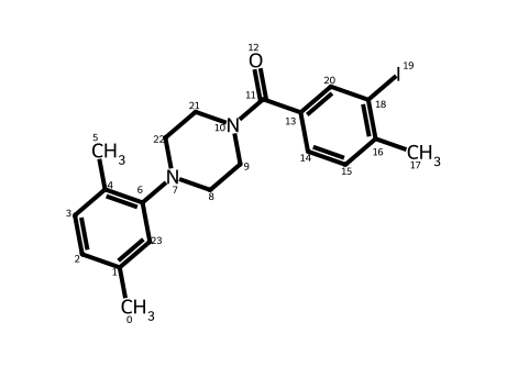 Cc1ccc(C)c(N2CCN(C(=O)c3ccc(C)c(I)c3)CC2)c1